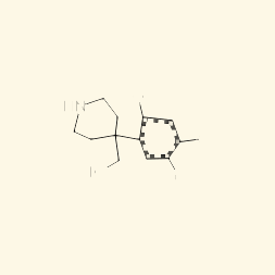 OCC1(c2cc(Cl)c(Cl)cc2O)CCNCC1